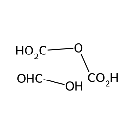 O=C(O)OC(=O)O.O=CO